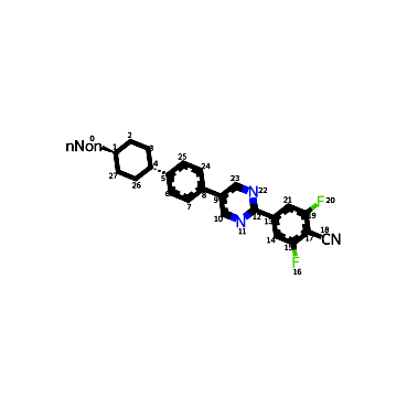 CCCCCCCCC[C@H]1CC[C@H](c2ccc(-c3cnc(-c4cc(F)c(C#N)c(F)c4)nc3)cc2)CC1